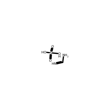 N=CN.O=S(=O)(O)O